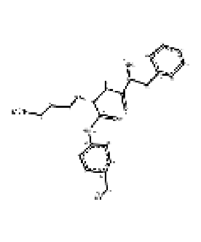 CNCCCC[C@H](NC(=O)[C@@H](N)Cc1ccccc1)C(=O)Nc1ccc(CO)cc1